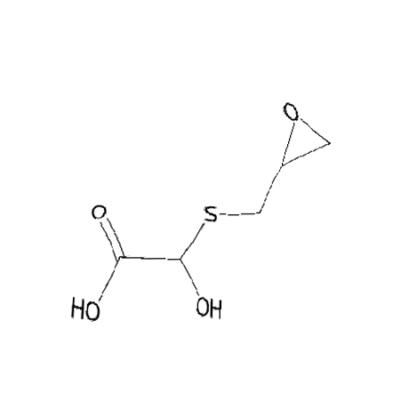 O=C(O)C(O)SCC1CO1